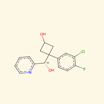 OC1CC(c2ccc(F)c(Cl)c2)([C@H](O)c2ccccn2)C1